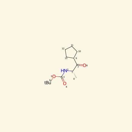 C[C@H](NC(=O)OC(C)(C)C)C(=O)C1CCCC1